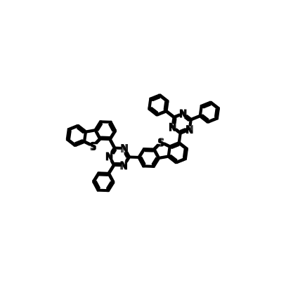 c1ccc(-c2nc(-c3ccc4c(c3)sc3c(-c5nc(-c6ccccc6)nc(-c6ccccc6)n5)cccc34)nc(-c3cccc4c3sc3ccccc34)n2)cc1